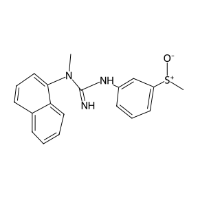 CN(C(=N)Nc1cccc([S+](C)[O-])c1)c1cccc2ccccc12